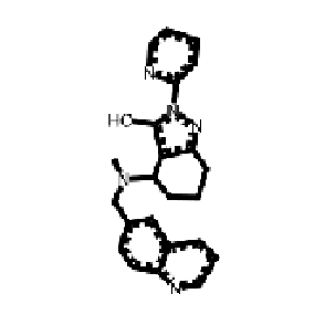 CN(Cc1ccc2ncccc2c1)C1CCCc2nn(-c3ccccn3)c(O)c21